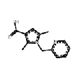 Cc1cc(C(=O)O)c(C)n1Cc1ccccn1